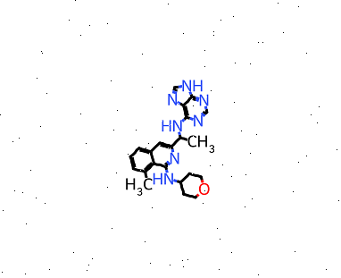 Cc1cccc2cc(C(C)Nc3ncnc4[nH]cnc34)nc(NC3CCOCC3)c12